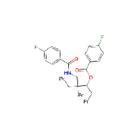 CC(C)CC(OC(=O)c1ccc(F)cc1)C(CNC(=O)c1ccc(F)cc1)(CC(C)C)C(C)C